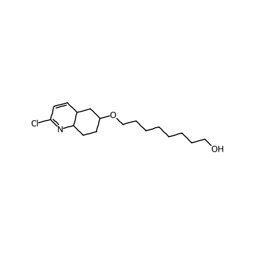 OCCCCCCCCOC1CCC2N=C(Cl)C=CC2C1